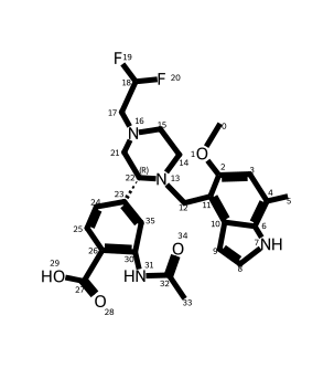 COc1cc(C)c2[nH]ccc2c1CN1CCN(CC(F)F)C[C@H]1c1ccc(C(=O)O)c(NC(C)=O)c1